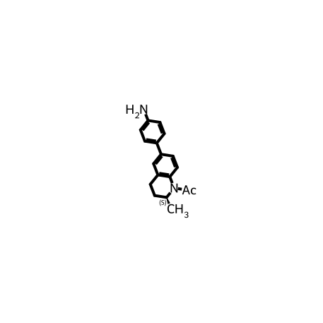 CC(=O)N1c2ccc(-c3ccc(N)cc3)cc2CC[C@@H]1C